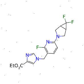 CCOC(=O)c1cn(Cc2ccc(N3CC4C(C3)C4(F)F)nc2F)cn1